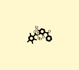 CCOc1ccc(C(=O)c2ccccc2)c(OCC)c1[PH](=O)C(=O)c1c(C)cc(C)c(C)c1C